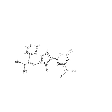 NC(O)/C(=C/n1cnn(-c2cc(C(F)F)cc(C(F)(F)F)c2)c1=O)c1cncnc1